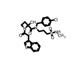 CNS(=O)(=O)CCCN(Cc1ccc(Cl)cc1)C(=O)C1(C)CCN1C(=O)Cc1csc2ccccc12